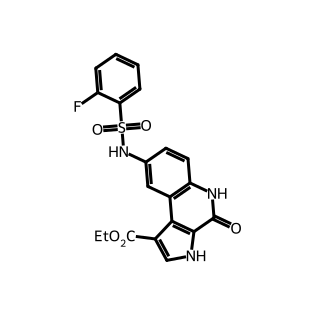 CCOC(=O)c1c[nH]c2c(=O)[nH]c3ccc(NS(=O)(=O)c4ccccc4F)cc3c12